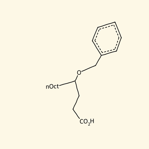 CCCCCCCCC(CCC(=O)O)OCc1ccccc1